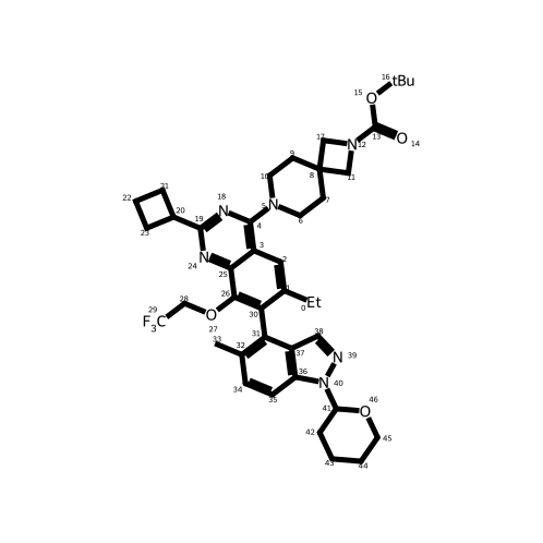 CCc1cc2c(N3CCC4(CC3)CN(C(=O)OC(C)(C)C)C4)nc(C3CCC3)nc2c(OCC(F)(F)F)c1-c1c(C)ccc2c1cnn2C1CCCCO1